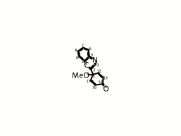 COC1(c2cnc3ccccc3c2)C=CC(=O)C=C1